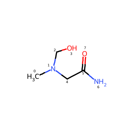 CN(CO)CC(N)=O